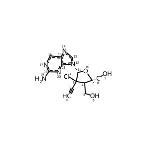 C#CC1(Cl)C(CO)[C@@H](CO)O[C@H]1n1cnc2cnc(N)nc21